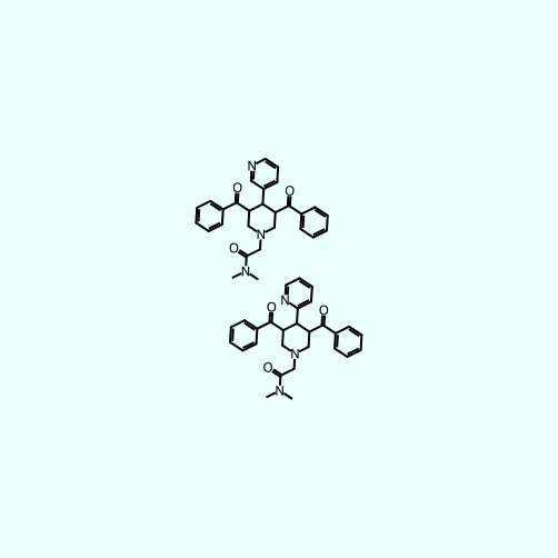 CN(C)C(=O)CN1CC(C(=O)c2ccccc2)C(c2ccccn2)C(C(=O)c2ccccc2)C1.CN(C)C(=O)CN1CC(C(=O)c2ccccc2)C(c2cccnc2)C(C(=O)c2ccccc2)C1